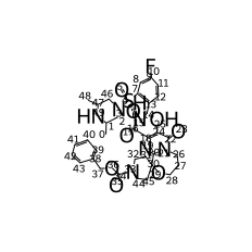 CC1CN(S(=O)(=O)c2cc(F)ccc2CNC(=O)c2nc3n(c(=O)c2O)CCCOC32CCN(C(=O)OCc3ccccc3)CC2)CC(C)N1